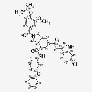 COc1cc(C(=O)N2CC3CN(C(=O)Cc4c[nH]c5cc(Cl)ccc45)CC(C(=O)Nc4cncc(Oc5ccccc5)c4)C3C2)ccc1OC(C)C